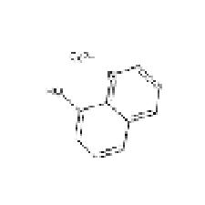 Oc1cccc2cccnc12.[Co+2]